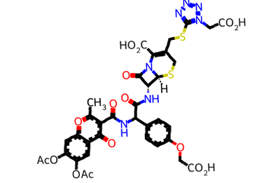 CC(=O)Oc1cc2oc(C)c(C(=O)NC(C(=O)N[C@@H]3C(=O)N4C(C(=O)O)=C(CSc5nnnn5CC(=O)O)CS[C@@H]34)c3ccc(OCC(=O)O)cc3)c(=O)c2cc1OC(C)=O